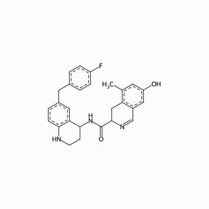 Cc1cc(O)cc2c1CC(C(=O)NC1CCNc3ccc(Cc4ccc(F)cc4)cc31)N=C2